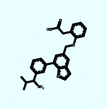 CC(C)C(N)c1cccc(-c2cc(COc3ccccc3CC(=O)O)cc3ccoc23)c1